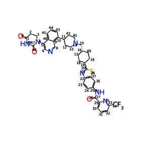 O=C1CCN(c2cncc3c(C4CCN(C[C@H]5CC[C@H](c6nc7ccc(NC(=O)c8cccc(C(F)(F)F)n8)cc7s6)CC5)CC4)cccc23)C(=O)N1